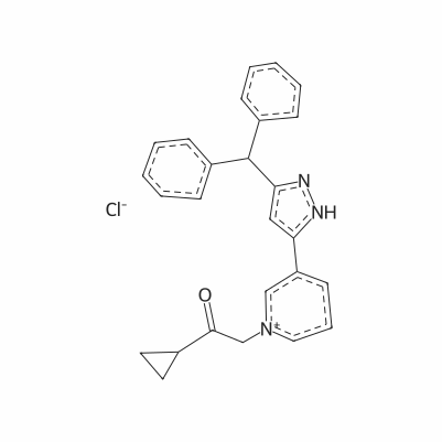 O=C(C[n+]1cccc(-c2cc(C(c3ccccc3)c3ccccc3)n[nH]2)c1)C1CC1.[Cl-]